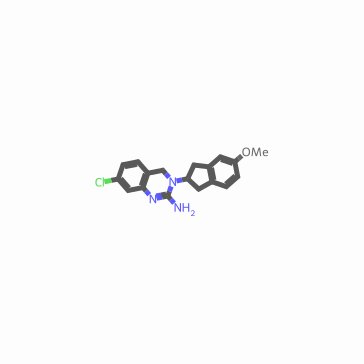 COc1ccc2c(c1)CC(N1Cc3ccc(Cl)cc3N=C1N)C2